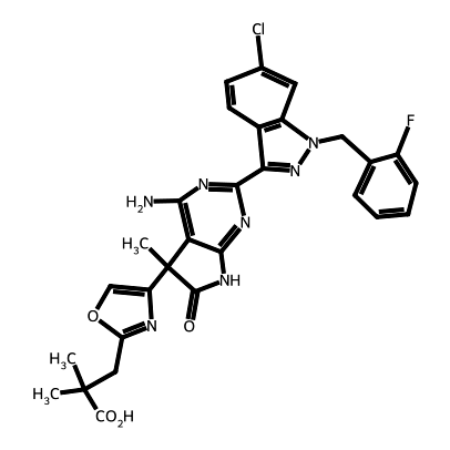 CC(C)(Cc1nc(C2(C)C(=O)Nc3nc(-c4nn(Cc5ccccc5F)c5cc(Cl)ccc45)nc(N)c32)co1)C(=O)O